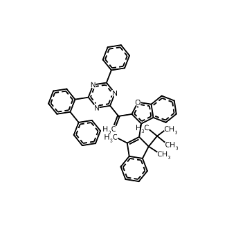 C=C(c1nc(-c2ccccc2)nc(-c2ccccc2-c2ccccc2)n1)c1oc2ccccc2c1C1=C(C)c2ccccc2C1(C)C(C)(C)C